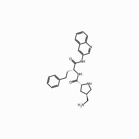 NC[C@@H]1CN[C@@H](C(=O)N[C@H](CCc2ccccc2)C(=O)Nc2cnc3ccccc3c2)C1